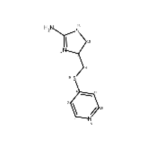 NC1=NC(CSc2ccncc2)CS1